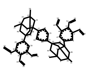 C=Cc1cc(C23CC4(C)CC(C)(CC(c5ccc(C67CC8(C)CC(C)(C6)CC(c6cc(C=C)c(C=C)c(C=C)c6)(C8)C7)cc5)(C4)C2)C3)cc(C=C)c1C=C